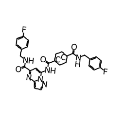 O=C(NCc1ccc(F)cc1)c1cc(NC(=O)C23CCC(C(=O)NCc4ccc(F)cc4)(CC2)CC3)n2nccc2n1